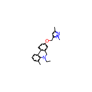 CCN1Cc2cc(OCc3cc(C)nn3C)ccc2-c2cccc(C)c21